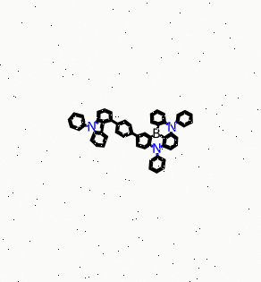 c1ccc(N2c3ccccc3B3c4cc(-c5ccc(-c6cccc7c6c6ccccc6n7-c6ccccc6)cc5)ccc4N(c4ccccc4)c4cccc2c43)cc1